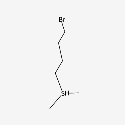 C[SH](C)CCCCBr